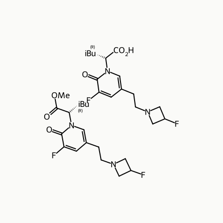 CC[C@@H](C)C(C(=O)O)n1cc(CCN2CC(F)C2)cc(F)c1=O.CC[C@@H](C)C(C(=O)OC)n1cc(CCN2CC(F)C2)cc(F)c1=O